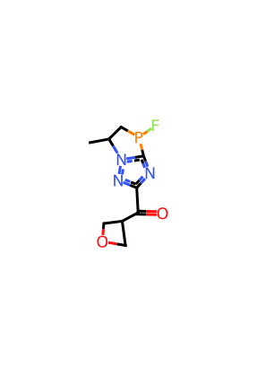 CC1CP(F)c2nc(C(=O)C3COC3)nn21